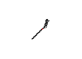 CCCCCCCCCCCCCCCCCCOc1ccc(-[n+]2ccccc2)cc1